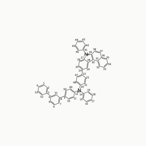 c1ccc(-c2cccc(-c3ccc(N(c4ccccc4)c4ccc(-c5ccc6c(c5)c5c7ccccc7ccc5n6-c5ccccc5)cc4)cc3)c2)cc1